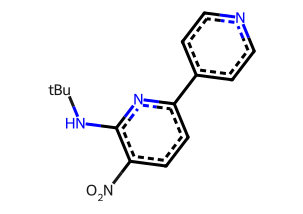 CC(C)(C)Nc1nc(-c2ccncc2)ccc1[N+](=O)[O-]